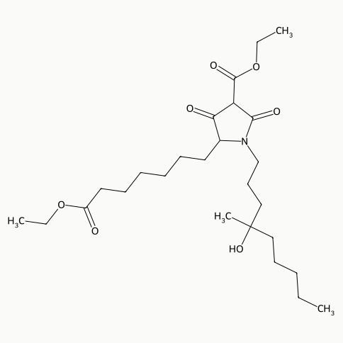 CCCCCC(C)(O)CCCN1C(=O)C(C(=O)OCC)C(=O)C1CCCCCCC(=O)OCC